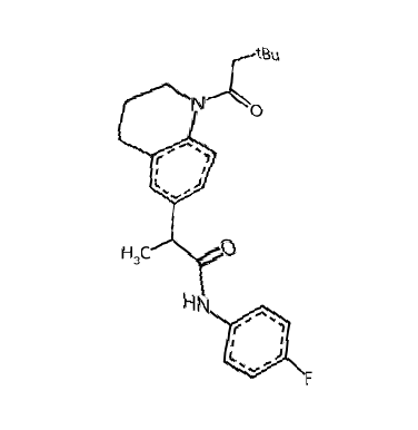 CC(C(=O)Nc1ccc(F)cc1)c1ccc2c(c1)CCCN2C(=O)CC(C)(C)C